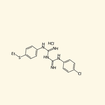 CCSc1ccc(NC(=N)NC(=N)Nc2ccc(Cl)cc2)cc1.Cl